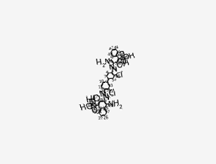 Nc1c(/N=N/c2ccc(-c3ccc(/N=N/c4c(O)c(S(=O)(=O)O)c5ccccc5c4N)c(Cl)c3)cc2Cl)c(O)c(S(=O)(=O)O)c2ccccc12